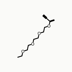 C#CC(=C)OCCOCCOCCOCC